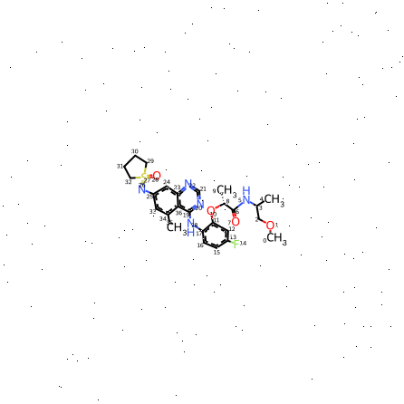 COCC(C)NC(=O)[C@@H](C)Oc1cc(F)ccc1Nc1ncnc2cc(N=S3(=O)CCCC3)cc(C)c12